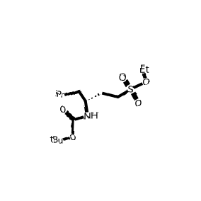 CCOS(=O)(=O)CC[C@@H](CC(C)C)NC(=O)OC(C)(C)C